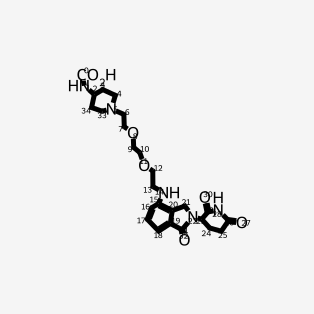 O=C(O)NC1CCN(CCOCCOCCNc2cccc3c2CN(C2CCC(=O)NC2=O)C3=O)CC1